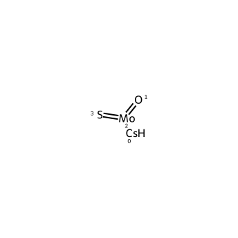 [CsH].[O]=[Mo]=[S]